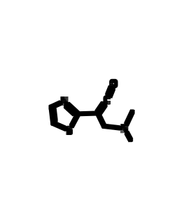 CN(C)CC(=C=O)c1nccs1